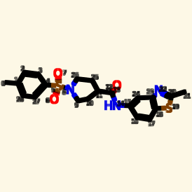 Cc1ccc(S(=O)(=O)N2CCC(C(=O)Nc3ccc4sc(C)nc4c3)CC2)cc1